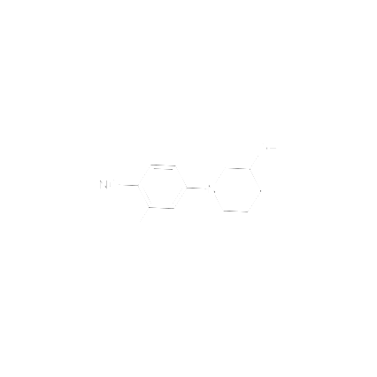 N#Cc1ccc(N2CCCC(O)C2)cc1F